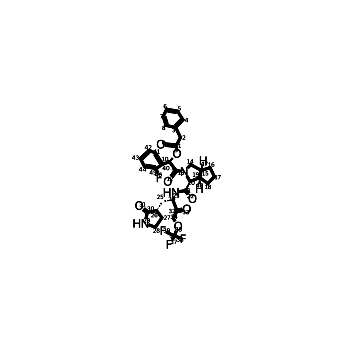 O=C(Cc1ccccc1)O[C@@H](C(=O)N1C[C@@H]2CCC[C@@H]2[C@H]1C(=O)N[C@@H](C[C@@H]1CCNC1=O)C(=O)COC(F)(F)F)c1ccccc1F